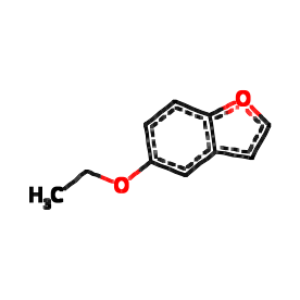 CCOc1ccc2occc2c1